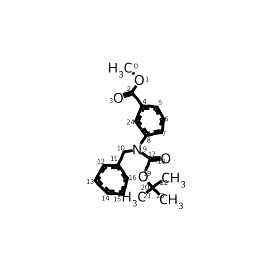 COC(=O)c1cccc(N(Cc2ccccc2)C(=O)OC(C)(C)C)c1